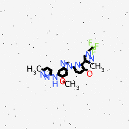 COc1cc2c(cc1Nc1ccc(C)nn1)ncn2-c1ccc(C=O)c(-c2cn(CC(F)(F)F)nc2C)n1